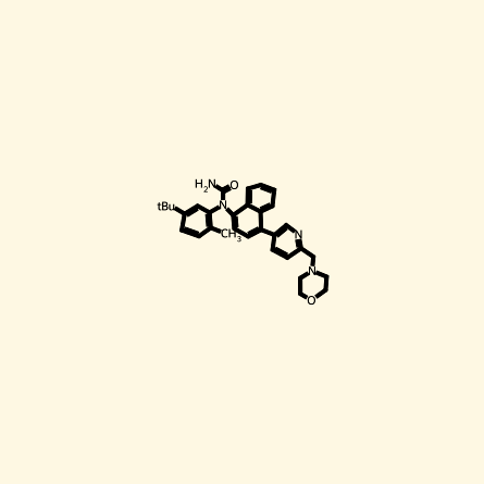 Cc1ccc(C(C)(C)C)cc1N(C(N)=O)c1ccc(-c2ccc(CN3CCOCC3)nc2)c2ccccc12